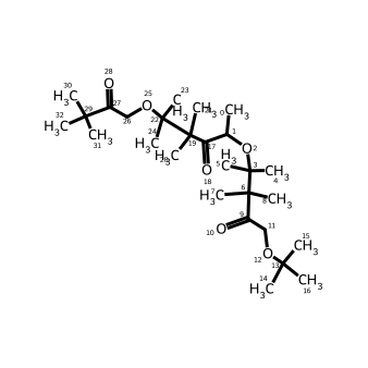 CC(OC(C)(C)C(C)(C)C(=O)COC(C)(C)C)C(=O)C(C)(C)C(C)(C)OCC(=O)C(C)(C)C